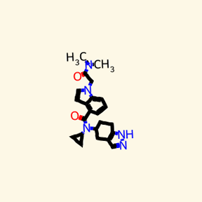 CN(C)C(=O)Cn1ccc2c(C(=O)N(C3CC3)C3CCc4[nH]ncc4C3)cccc21